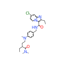 CCc1nc2cc(Cl)ccn2c1C(=O)NCc1ccc(N(C)CCC(CC)C(=O)N(C)C)cc1